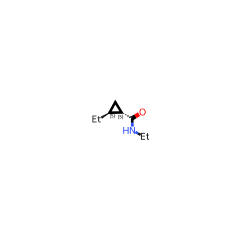 CCNC(=O)[C@H]1C[C@@H]1CC